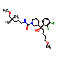 COCCCC[C@@](O)(c1cccc(F)c1F)[C@@H]1CCCN(C(=O)NCCCC(C)(C)COC)C1